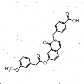 COc1cccc(CC(=O)Oc2ccc3ccn(Cc4ccc(C(=O)O)cc4)c(=O)c3c2)c1